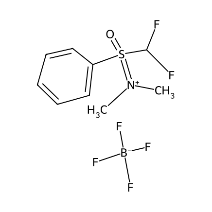 C[N+](C)=S(=O)(c1ccccc1)C(F)F.F[B-](F)(F)F